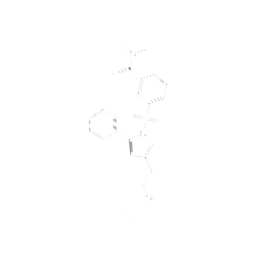 CN(C)C(=O)c1cccc(S(=O)(=O)n2cc(CCNC(=O)O)cc2-c2ccccc2)c1